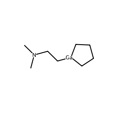 CN(C)C[CH2][Ga]1[CH2]CC[CH2]1